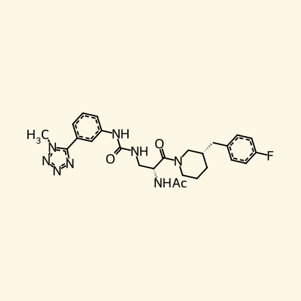 CC(=O)N[C@H](CNC(=O)Nc1cccc(-c2nnnn2C)c1)C(=O)N1CCC[C@@H](Cc2ccc(F)cc2)C1